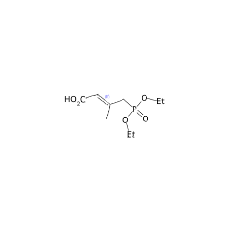 CCOP(=O)(C/C(C)=C/C(=O)O)OCC